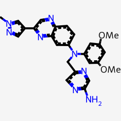 COc1cc(OC)cc(N(Cc2cnc(N)cn2)c2ccc3ncc(-c4cnn(C)c4)nc3c2)c1